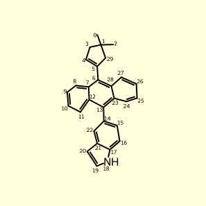 CC1(C)CC=C(c2c3ccccc3c(-c3ccc4[nH]ccc4c3)c3ccccc23)C1